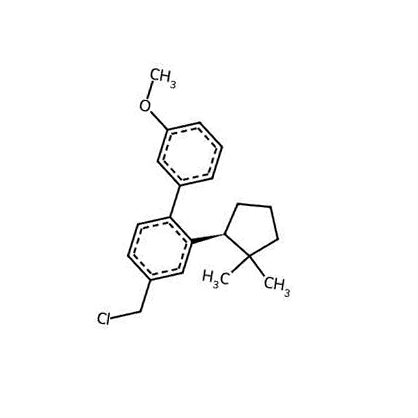 COc1cccc(-c2ccc(CCl)cc2[C@H]2CCCC2(C)C)c1